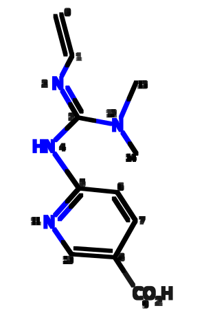 C=C/N=C(/Nc1ccc(C(=O)O)cn1)N(C)C